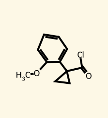 COc1ccccc1C1(C(=O)Cl)CC1